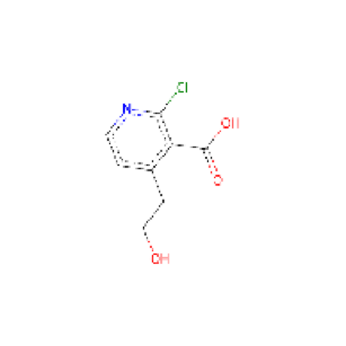 O=C(O)c1c(CCO)ccnc1Cl